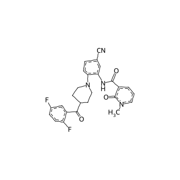 Cn1cccc(C(=O)Nc2cc(C#N)ccc2N2CCC(C(=O)c3cc(F)ccc3F)CC2)c1=O